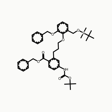 CC(C)(C)OC(=O)Nc1ccc(C(=O)OCc2ccccc2)c(CCCOc2c(CO[Si](C)(C)C(C)(C)C)cccc2OCc2ccccc2)c1